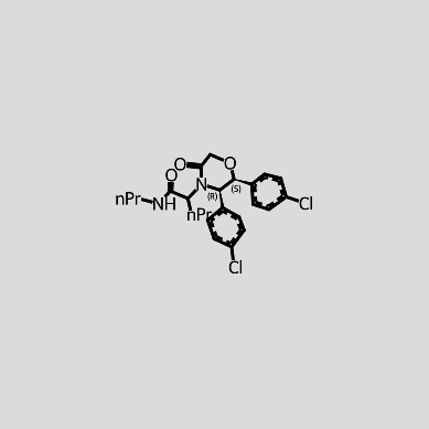 CCCNC(=O)C(CCC)N1C(=O)CO[C@@H](c2ccc(Cl)cc2)[C@H]1c1ccc(Cl)cc1